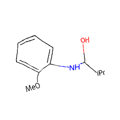 COc1ccccc1NC(O)C(C)C